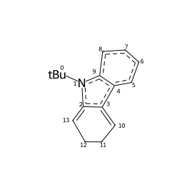 CC(C)(C)n1c2c(c3ccccc31)=CCCC=2